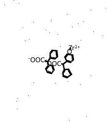 O=C([O-])C(c1ccccc1)c1ccccc1.O=C([O-])C(c1ccccc1)c1ccccc1.[O]=[Zr+2]